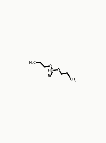 CCCO[SiH](Br)OCCC